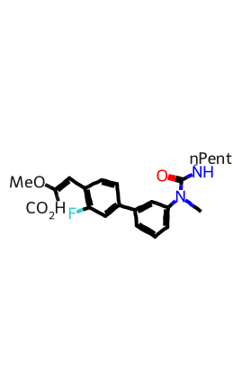 CCCCCNC(=O)N(C)c1cccc(-c2ccc(/C=C(/OC)C(=O)O)c(F)c2)c1